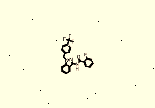 O=C(Nc1nn(Cc2ccc(C(F)(F)F)cc2)c2ccccc12)c1ccccc1F